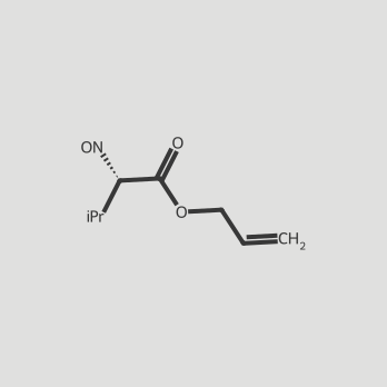 C=CCOC(=O)[C@@H](N=O)C(C)C